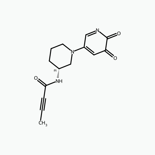 CC#CC(=O)N[C@@H]1CCCN(C2=CC(=O)C(=O)N=C2)C1